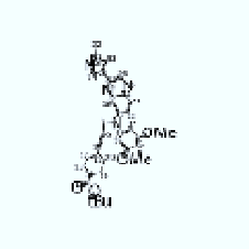 COc1cc(OC)cc(N(CC#CC2CCC(C(=O)OC(C)(C)C)CC2)c2ccc3ncc(-c4cnn(C)c4)nc3c2)c1